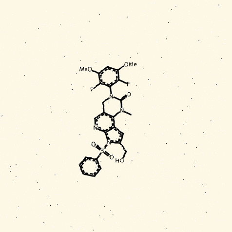 COc1cc(OC)c(F)c(N2Cc3cnc4c(cc(CO)n4S(=O)(=O)c4ccccc4)c3N(C)C2=O)c1F